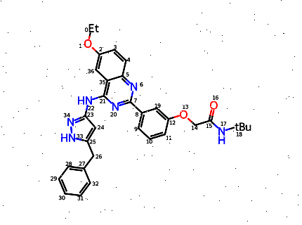 CCOc1ccc2nc(-c3cccc(OCC(=O)NC(C)(C)C)c3)nc(Nc3cc(Cc4ccccc4)[nH]n3)c2c1